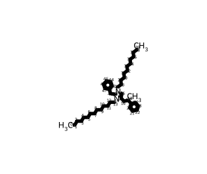 CCCCCCCCCCCCCC[n+]1c(CC(C)c2ccccc2)cn(CCCCCCCCCCCCC)c1Cc1ccccc1